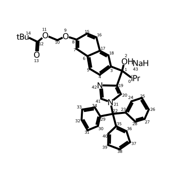 CC(C)C(O)(c1ccc2cc(OCOC(=O)C(C)(C)C)ccc2c1)c1cn(C(c2ccccc2)(c2ccccc2)c2ccccc2)cn1.[NaH]